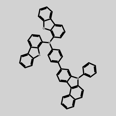 c1ccc(-n2c3cc(-c4ccc(N(c5cccc6c5oc5ccccc56)c5cccc6c5sc5ccccc56)cc4)ccc3c3c4ccccc4ccc32)cc1